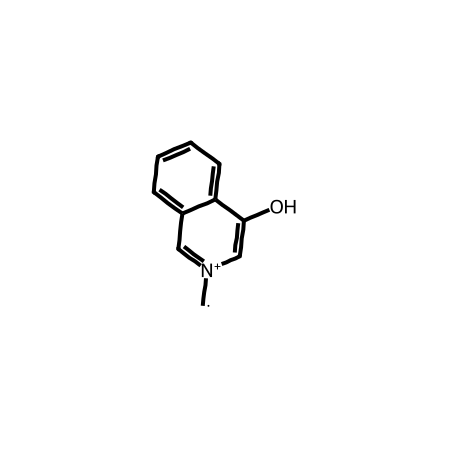 [CH2][n+]1cc(O)c2ccccc2c1